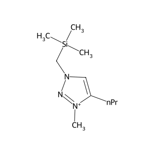 CCCc1cn(C[Si](C)(C)C)n[n+]1C